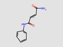 NC(=O)/C=C/C(=O)Nc1ccccc1